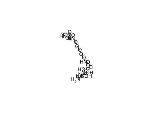 Nc1ncnc2c1ccn2[C@@H]1O[C@H](C(O)c2ccc(Cl)c(OCC(=O)NCCOCCOCCOCCOCCOCCNc3cccc4c3C(=O)N(C3CCC(=O)NC3=O)C4=O)c2)[C@@H](O)[C@H]1O